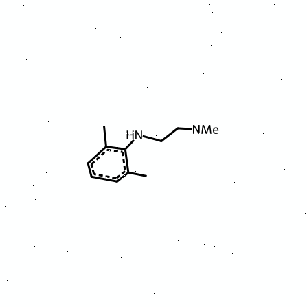 CNCCNc1c(C)cccc1C